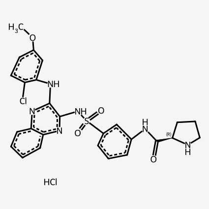 COc1ccc(Cl)c(Nc2nc3ccccc3nc2NS(=O)(=O)c2cccc(NC(=O)[C@H]3CCCN3)c2)c1.Cl